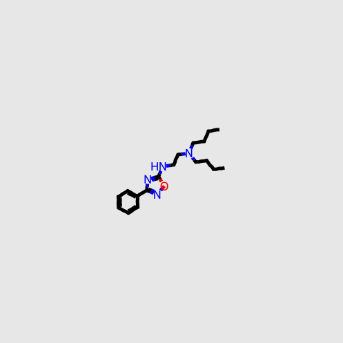 CCCCN(CCCC)CCNc1nc(-c2ccccc2)no1